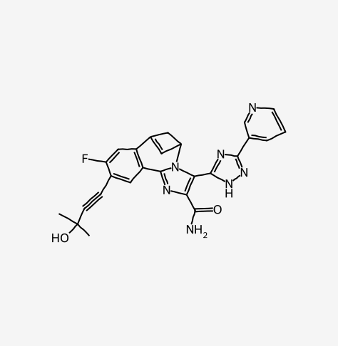 CC(C)(O)C#Cc1cc2c(cc1F)C1=CC(C1)n1c-2nc(C(N)=O)c1-c1nc(-c2cccnc2)n[nH]1